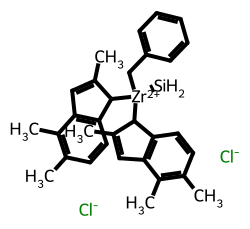 CC1=Cc2c(ccc(C)c2C)[CH]1[Zr+2](=[SiH2])([CH2]c1ccccc1)[CH]1C(C)=Cc2c1ccc(C)c2C.[Cl-].[Cl-]